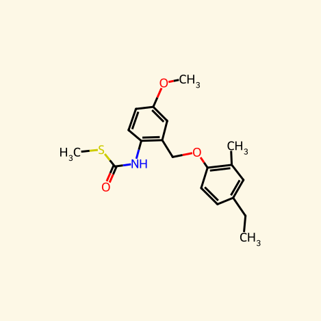 CCc1ccc(OCc2cc(OC)ccc2NC(=O)SC)c(C)c1